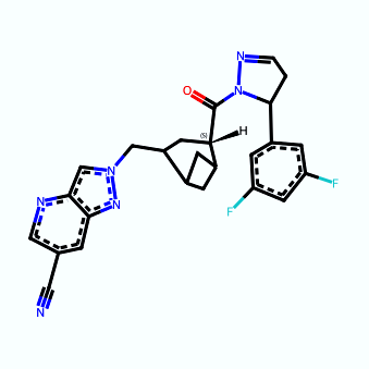 N#Cc1cnc2cn(CC3C[C@H](C(=O)N4N=CCC4c4cc(F)cc(F)c4)C4CC3C4)nc2c1